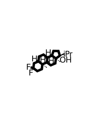 CC(C)[C@]1(O)CC[C@H]2[C@@H]3CC[C@H]4CC(F)(F)CC[C@]4(C)[C@H]3CC[C@@]21C